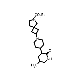 CCOC(=O)N1CCC2(CC(N3CCC(C4CC(C)CNC4=O)CC3)C2)C1